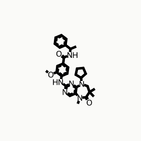 COc1cc(C(=O)NC(C)c2ccccc2)ccc1Nc1ncc2c(n1)N(C1CCCC1)CC(C)(C)C(=O)N2C